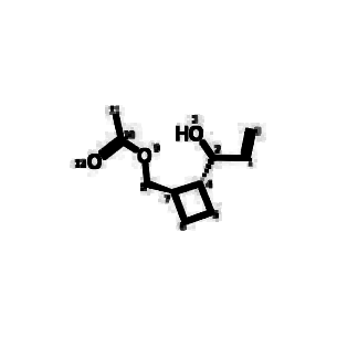 C=CC(O)[C@@H]1CC[C@H]1COC(C)=O